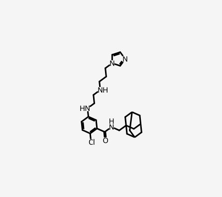 O=C(NCC12CC3CC(CC(C3)C1)C2)c1cc(NCCNCCCn2ccnc2)ccc1Cl